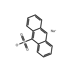 O=S(=O)([O-])c1c2ccccc2cc2ccccc12.[Na+]